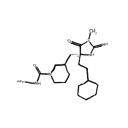 CCCNC(=O)N1CCCC(C[C@@]2(CCC3CCCCC3)NC(=N)N(C)C2=O)C1